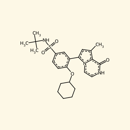 Cc1cc(-c2cc(S(=O)(=O)NC(C)(C)C)ccc2OC2CCCCC2)n2cc[nH]c(=O)c12